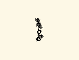 O=C1OC2(CCC(CNc3ccc(-c4cncs4)cn3)CC2)CN1c1ccccn1